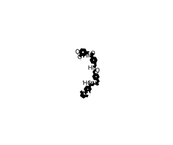 COc1ccc(CNC(=O)c2ccc(CNC(=O)Cc3ccc(CC(C)NC[C@@H](O)c4ccc(-n5c(C)ccc5C)nc4)cc3)cc2)cc1OC